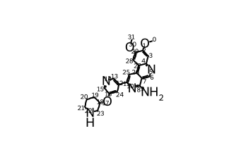 COc1cc2ncc3c(N)nc(-c4cncc(O[C@H]5CCCNC5)c4)cc3c2cc1OC